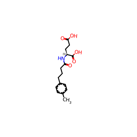 Cc1ccc(CCCC(=O)N[C@@H](CCC(=O)O)C(=O)O)cc1